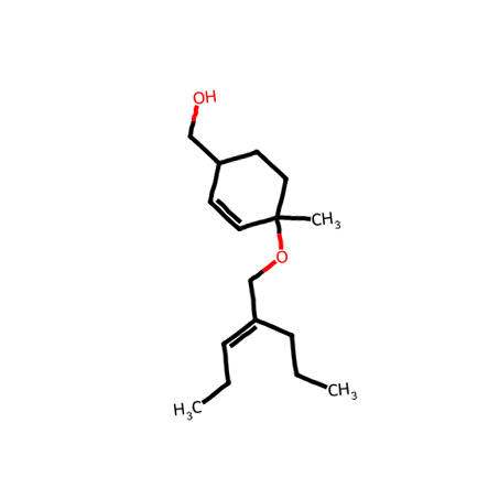 CC/C=C(\CCC)COC1(C)C=CC(CO)CC1